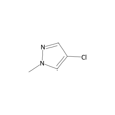 Cn1[c]c(Cl)cn1